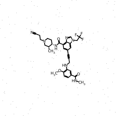 CNC(=O)c1ccc(OC)c(NCC#Cc2cc(C(=O)N[C@H]3CCN(CCC#N)C[C@@H]3C)c3ncn(CC(F)(F)F)c3c2)c1